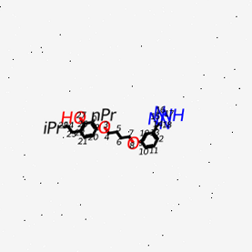 CCCc1c(OCCCCOc2cccc(-c3nn[nH]n3)c2)ccc(CCC(C)C)c1O